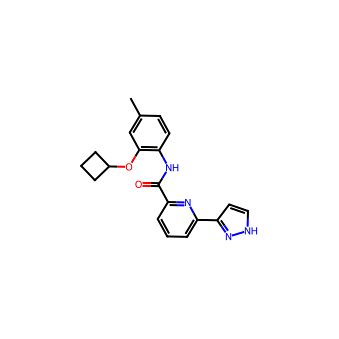 Cc1ccc(NC(=O)c2cccc(-c3cc[nH]n3)n2)c(OC2CCC2)c1